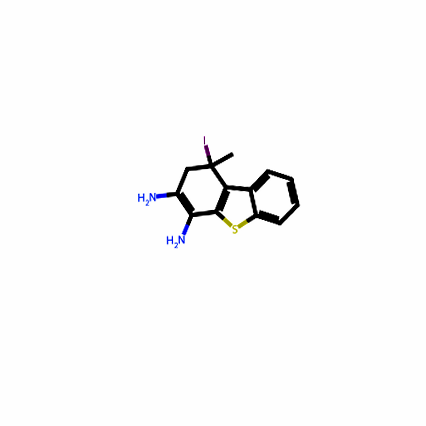 CC1(I)CC(N)=C(N)c2sc3ccccc3c21